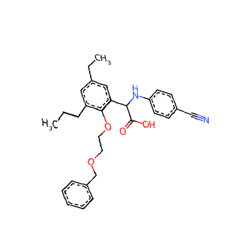 CCCc1cc(CC)cc(C(Nc2ccc(C#N)cc2)C(=O)O)c1OCCOCc1ccccc1